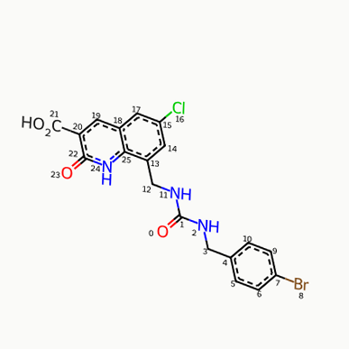 O=C(NCc1ccc(Br)cc1)NCc1cc(Cl)cc2cc(C(=O)O)c(=O)[nH]c12